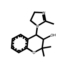 CC1=NCCN1C1c2ccccc2OC(C)(C)C1O